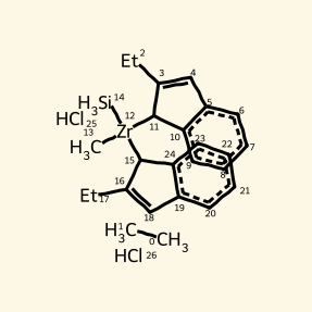 CC.CCC1=Cc2ccccc2[CH]1[Zr]([CH3])([SiH3])[CH]1C(CC)=Cc2ccccc21.Cl.Cl